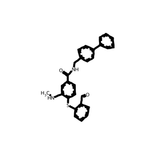 CNc1cc(C(=O)NCc2ccc(-c3ccccc3)cc2)ccc1Sc1ccccc1C=O